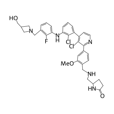 COc1cc(-c2nccc(-c3cccc(Nc4cccc(CN5CC(CO)C5)c4F)c3Cl)c2Cl)ccc1CNCC1CCC(=O)N1